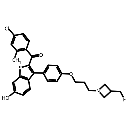 Cc1cc(Cl)ccc1C(=O)c1sc2cc(O)ccc2c1-c1ccc(OCCCN2CC(CF)C2)cc1